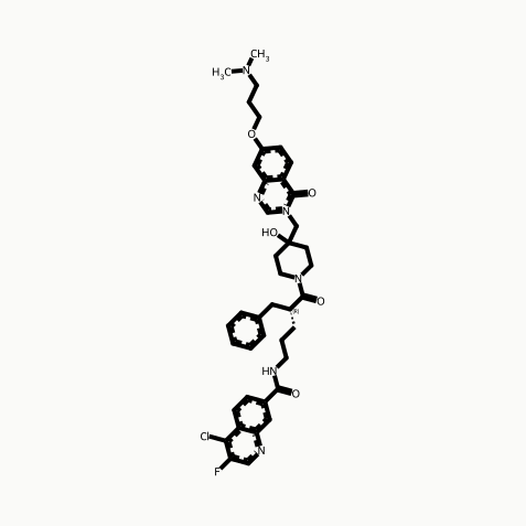 CN(C)CCCOc1ccc2c(=O)n(CC3(O)CCN(C(=O)[C@H](CCCNC(=O)c4ccc5c(Cl)c(F)cnc5c4)Cc4ccccc4)CC3)cnc2c1